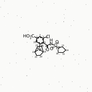 O=C(O)c1cc(Cl)c(C(=O)NS(=O)(=O)N2CCCC2)c(N2C3CCC2CC3)c1